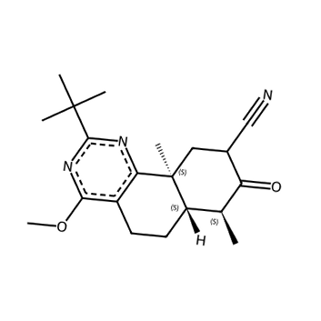 COc1nc(C(C)(C)C)nc2c1CC[C@H]1[C@H](C)C(=O)C(C#N)C[C@]21C